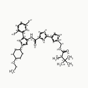 CCOC1CCC(n2cc(NC(=O)c3csc(-c4cnn(COC(=O)[C@H](N)C(C)(C)C)c4)n3)c(-c3nc(F)ccc3F)n2)CC1